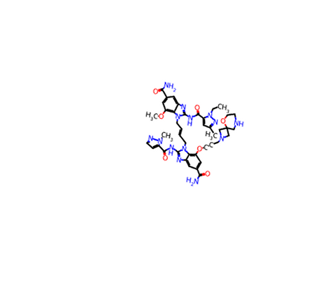 CCn1nc(C)cc1C(=O)Nc1nc2cc(C(N)=O)cc(OC)c2n1C/C=C/Cn1c(NC(=O)c2ccnn2C)nc2cc(C(N)=O)cc(OCCCN3CC4(CNCCO4)C3)c21